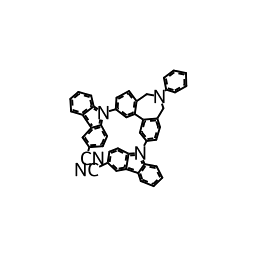 N#Cc1ccc2c(c1)c1ccccc1n2-c1ccc2c(c1)-c1cc(-n3c4ccccc4c4cc(C#N)ccc43)ccc1CN(c1ccccc1)C2